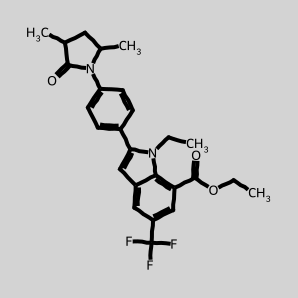 CCOC(=O)c1cc(C(F)(F)F)cc2cc(-c3ccc(N4C(=O)C(C)CC4C)cc3)n(CC)c12